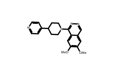 COc1cc2cnnc(N3CCC(c4ccncc4)CC3)c2cc1OC